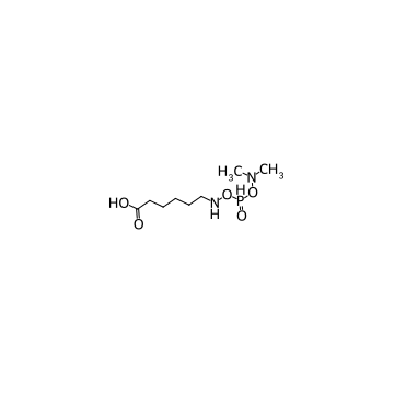 CN(C)O[PH](=O)ONCCCCCC(=O)O